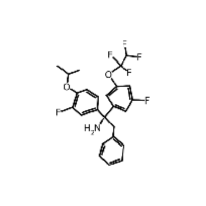 CC(C)Oc1ccc([C@@](N)(Cc2ccccc2)c2cc(F)cc(OC(F)(F)C(F)F)c2)cc1F